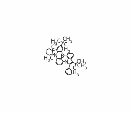 CC(C)(C)c1cc2c3c(c1)C1(C)CCCCC1(C)N3c1cccc3c1B2c1cccc2c(C(C)(C)C)c(-c4ccccc4)n-3c12